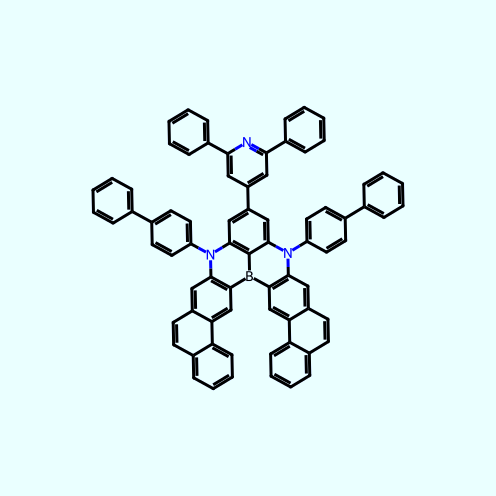 c1ccc(-c2ccc(N3c4cc5ccc6ccccc6c5cc4B4c5cc6c(ccc7ccccc76)cc5N(c5ccc(-c6ccccc6)cc5)c5cc(-c6cc(-c7ccccc7)nc(-c7ccccc7)c6)cc3c54)cc2)cc1